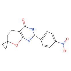 O=c1[nH]c(-c2ccc([N+](=O)[O-])cc2)nc2c1CCC1(CC1)O2